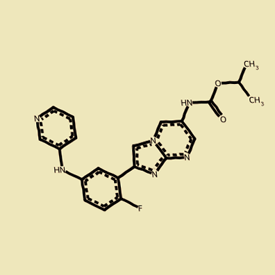 CC(C)OC(=O)Nc1cnc2nc(-c3cc(Nc4cccnc4)ccc3F)cn2c1